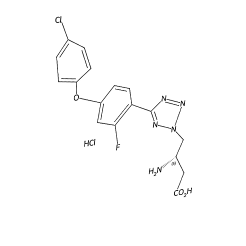 Cl.N[C@@H](CC(=O)O)Cn1nnc(-c2ccc(Oc3ccc(Cl)cc3)cc2F)n1